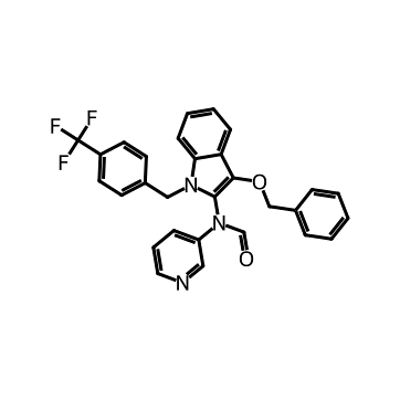 O=CN(c1cccnc1)c1c(OCc2ccccc2)c2ccccc2n1Cc1ccc(C(F)(F)F)cc1